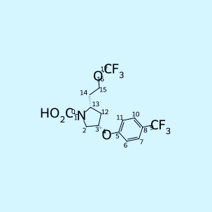 O=C(O)N1C[C@@H](Oc2ccc(C(F)(F)F)cc2)C[C@H]1CCOC(F)(F)F